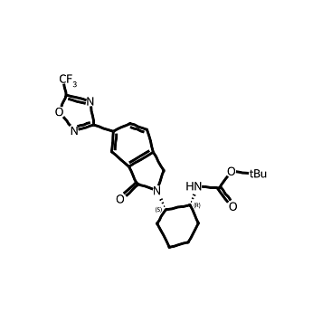 CC(C)(C)OC(=O)N[C@@H]1CCCC[C@@H]1N1Cc2ccc(-c3noc(C(F)(F)F)n3)cc2C1=O